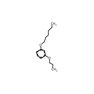 [CH2]CCOc1cccc(OCCCCCC)c1